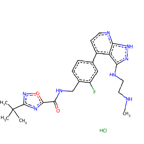 CNCCNc1n[nH]c2nccc(-c3ccc(CNC(=O)c4nc(C(C)(C)C)no4)c(F)c3)c12.Cl